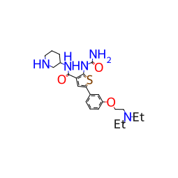 CCN(CC)CCOc1cccc(-c2cc(C(=O)NC3CCCNC3)c(NC(N)=O)s2)c1